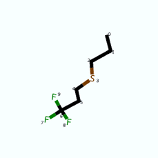 C[CH]CSCCC(F)(F)F